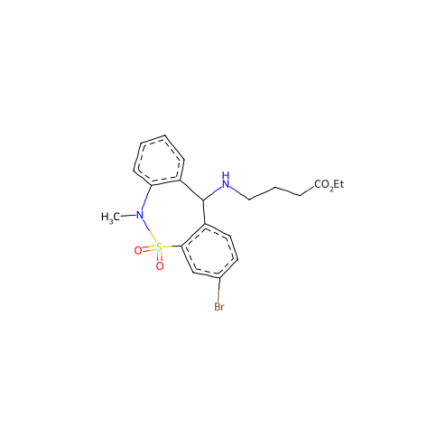 CCOC(=O)CCCNC1c2ccccc2N(C)S(=O)(=O)c2cc(Br)ccc21